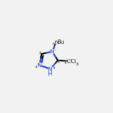 CCCCN1C=NNC1C(Cl)(Cl)Cl